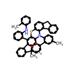 Cc1ccc(N2c3cc4c(c(-c5ccccc5Nc5ccccc5C)c3Sc3ccc5c(c32)-c2ccccc2C5)-c2ccccc2C4(C)C)c(-c2ccccc2)c1